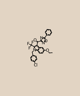 CCOc1ccc2c(c1)c(C(=O)c1noc(-c3ccccc3)n1)c(C(F)(F)F)n2Cc1ccc(Cl)cc1